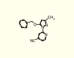 Cc1cc(OCc2ccccc2)n(-c2cc(C#N)ccn2)n1